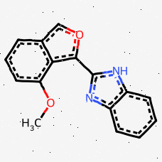 COc1cccc2coc(-c3nc4ccccc4[nH]3)c12